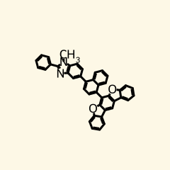 Cn1c(-c2ccccc2)nc2cc(-c3ccc(-c4c5oc6ccccc6c5cc5c4oc4ccccc45)c4ccccc34)ccc21